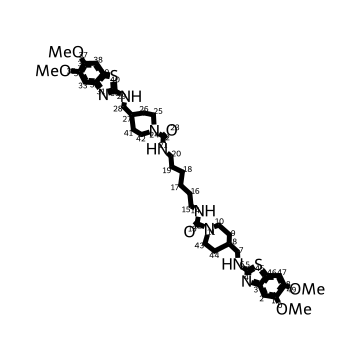 COc1cc2nc(NCC3CCN(C(=O)NCCCCCCNC(=O)N4CCC(CNc5nc6cc(OC)c(OC)cc6s5)CC4)CC3)sc2cc1OC